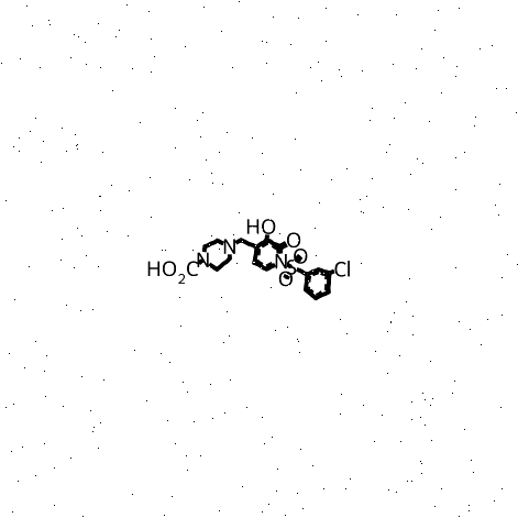 O=C(O)N1CCN(Cc2ccn(S(=O)(=O)c3cccc(Cl)c3)c(=O)c2O)CC1